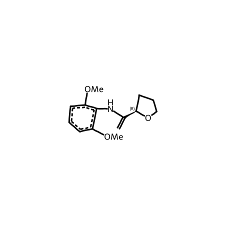 C=C(Nc1c(OC)cccc1OC)[C@H]1CCCO1